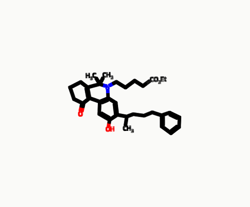 CCOC(=O)CCCCN1c2cc(C(C)CCCc3ccccc3)c(O)cc2C2=C(CCCC2=O)C1(C)C